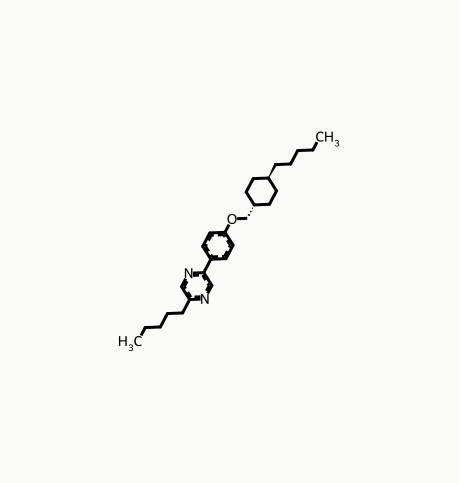 CCCCCc1cnc(-c2ccc(OC[C@H]3CC[C@H](CCCCC)CC3)cc2)cn1